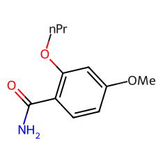 CCCOc1cc(OC)ccc1C(N)=O